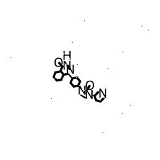 O=C1N(c2ccc(-c3n[nH]c(=O)c4ccccc34)cc2)CCN1c1cccnc1